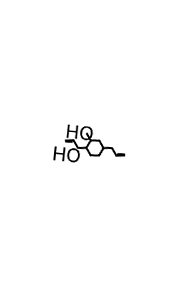 C=CCC1CCC(C(O)C=C)C(O)C1